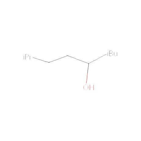 CCC(C)[C](O)CCC(C)C